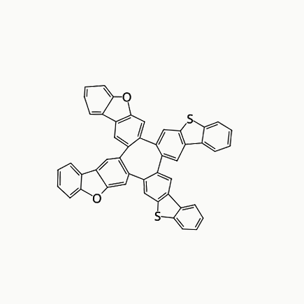 c1ccc2c(c1)oc1cc3c(cc12)-c1cc2c(cc1-c1cc4sc5ccccc5c4cc1-c1cc4c(cc1-3)sc1ccccc14)oc1ccccc12